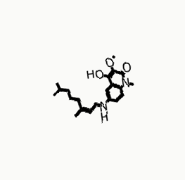 COc1c(O)c2cc(NCC=C(C)CCC=C(C)C)ccc2n(C)c1=O